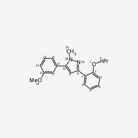 CCCOc1ccccc1-c1cc(-c2cccc(OC)c2)n(C)n1